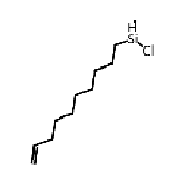 C=CCCCCCCCC[SiH](C)Cl